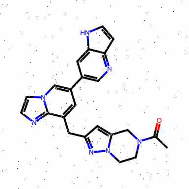 CC(=O)N1CCn2nc(Cc3cc(-c4cnc5cc[nH]c5c4)cn4ccnc34)cc2C1